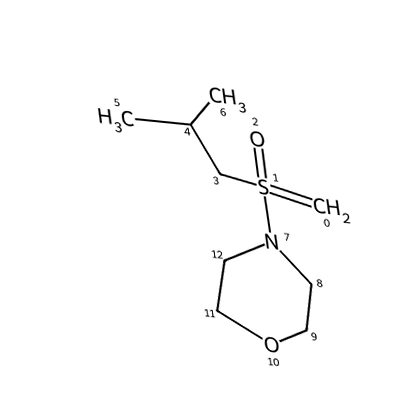 C=S(=O)(CC(C)C)N1CCOCC1